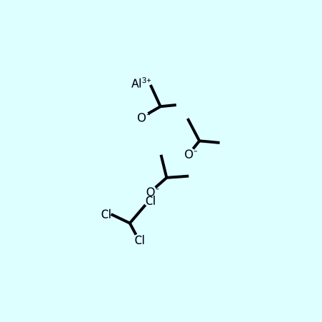 CC(C)[O-].CC(C)[O-].CC(C)[O-].ClC(Cl)Cl.[Al+3]